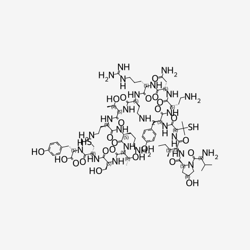 CC[C@H](C)[C@H](NC(=O)[C@@H]1C[C@@H](O)CN1C(=O)[C@@H](N)C(C)C)C(=O)N[C@H](C(=O)N[C@@H](Cc1ccc(O)cc1)C(=O)N[C@@H](CCN)C(=O)N[C@@H](CC(N)=O)C(=O)N[C@@H](CCCNC(=N)N)C(=O)N[C@@H](CCN)C(=O)N[C@H](C(=O)N[C@H](CCN)C(=O)N[C@@H](CCCN)C(=O)N[C@H](C(=O)N[C@@H](CO)C(=O)N[C@@H](CS)C(=O)N[C@@H](Cc1ccc(O)cc1)C(=O)O)[C@@H](C)O)[C@@H](C)O)C(C)(C)S